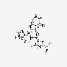 Cn1nc(C(F)I)cc1C(=O)N1CCc2[nH]cnc2[C@@H]1c1cc2c(Cl)cccn2n1